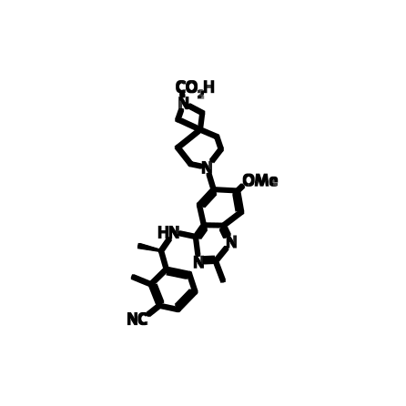 COc1cc2nc(C)nc(N[C@H](C)c3cccc(C#N)c3C)c2cc1N1CCC2(CC1)CN(C(=O)O)C2